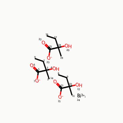 CCC(C)(O)C(=O)[O-].CCC(C)(O)C(=O)[O-].CCC(C)(O)C(=O)[O-].[Bi+3]